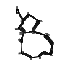 Clc1ccc2ccccccoc2c1